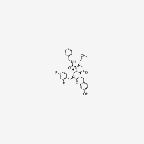 C=CCN1CC(=O)N2[C@@H](CN(Cc3ccc(F)cc3F)C(=O)[C@@H]2Cc2ccc(O)cc2)N1C(=O)NCc1ccccc1